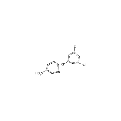 Clc1cc(Cl)cc(Cl)c1.O=S(=O)(O)c1cccnc1